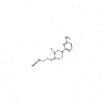 C[C@]1(F)CN(c2nccc(N)n2)CC[C@H]1OCCN=[N+]=[N-]